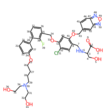 O=C(O)C(CO)NCc1cc(Cl)c(OCc2cccc(-c3cccc(OCCCCN(CCO)CCO)c3)c2F)cc1OCc1ccc2nonc2c1